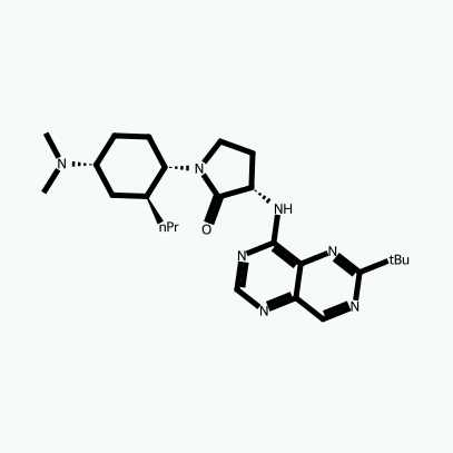 CCC[C@H]1C[C@H](N(C)C)CC[C@@H]1N1CC[C@H](Nc2ncnc3cnc(C(C)(C)C)nc23)C1=O